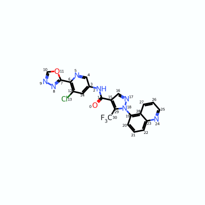 O=C(Nc1cnc(-c2nnco2)c(Cl)c1)c1cnn(-c2cccc3ncccc23)c1C(F)(F)F